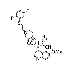 COc1ccc2nccc([C@H](CC[C@@H]3CCN(CCSc4cc(F)ccc4F)C[C@@H]3C(=O)O)N(C)C)c2c1